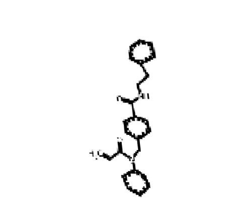 C=CC(=O)N(Cc1ccc(C(=O)NCCc2ccccc2)cc1)c1ccccc1